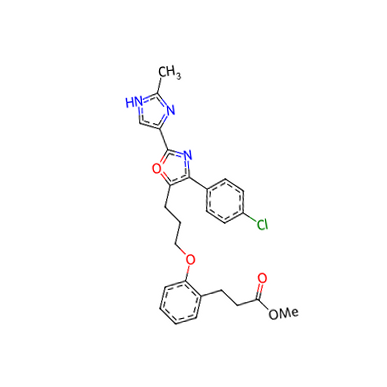 COC(=O)CCc1ccccc1OCCCc1oc(-c2c[nH]c(C)n2)nc1-c1ccc(Cl)cc1